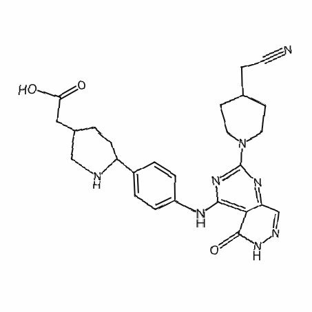 N#CCC1CCN(c2nc(Nc3ccc(C4CCC(CC(=O)O)CN4)cc3)c3c(=O)[nH]ncc3n2)CC1